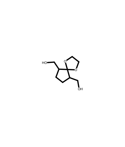 OCC1CCC(CO)C12OCCO2